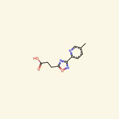 Cc1ccc(-c2noc(CCC(=O)O)n2)nc1